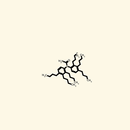 CCCCc1ccc(N(C(N)=O)c2ccc(CCCC)c(CCCC)c2CCCC)c(CCCC)c1CCCC